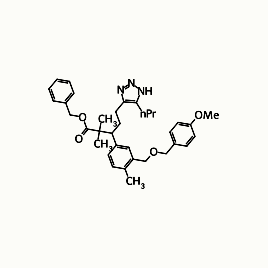 CCCc1[nH]nnc1CCC(c1ccc(C)c(COCc2ccc(OC)cc2)c1)C(C)(C)C(=O)OCc1ccccc1